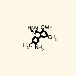 COc1cc(C)cc(-c2ccc(C)c(N)c2)c1-c1nc[nH]n1